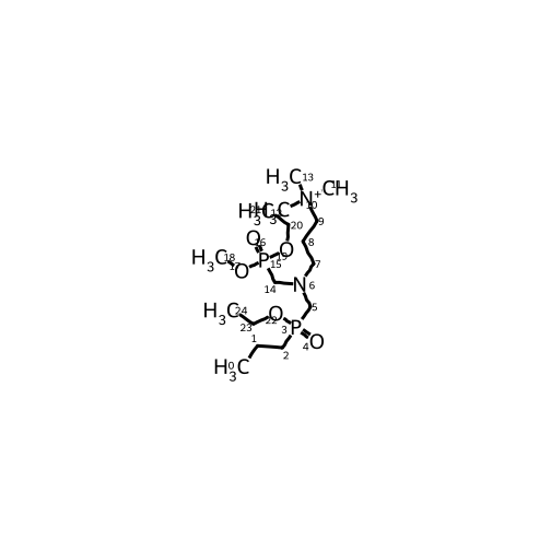 CCCP(=O)(CN(CCC[N+](C)(C)C)CP(=O)(OC)OCC)OCC